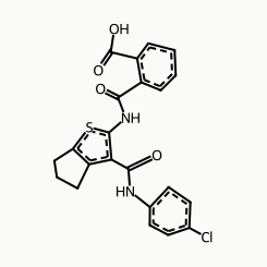 O=C(O)c1ccccc1C(=O)Nc1sc2c(c1C(=O)Nc1ccc(Cl)cc1)CCC2